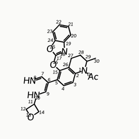 CC(=O)N1c2ccc(/C(C=N)=C/NC3COC3)c(Oc3nc4ccccc4o3)c2CCC1C